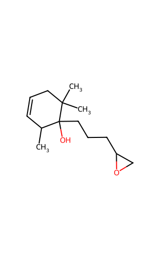 CC1C=CCC(C)(C)C1(O)CCCC1CO1